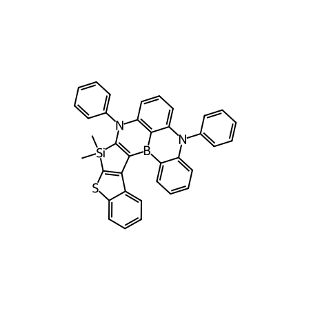 C[Si]1(C)C2=C(B3c4ccccc4N(c4ccccc4)c4cccc(c43)N2c2ccccc2)c2c1sc1ccccc21